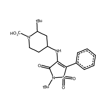 CC(C)(C)C1CC(NC2=C(c3ccccc3)S(=O)(=O)N(C(C)(C)C)C2=O)CCN1C(=O)O